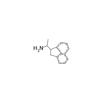 CC(N)C1Cc2cccc3cccc1c23